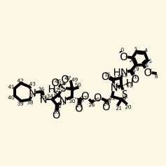 COc1cccc(OC)c1C(=O)N[C@@H]1C(=O)N2[C@@H]1SC(C)(C)[C@@H]2C(=O)OCOC(=O)[C@@H]1N2C(=O)[C@@H](N=CN3CCCCCC3)[C@H]2S(=O)(=O)C1(C)C